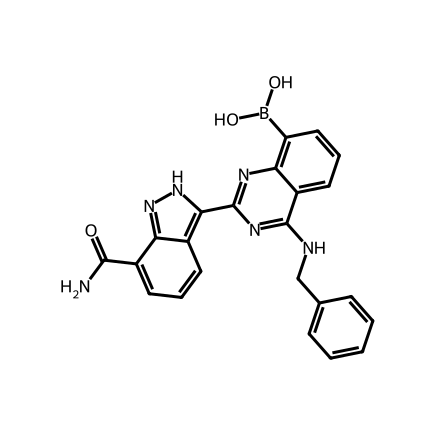 NC(=O)c1cccc2c(-c3nc(NCc4ccccc4)c4cccc(B(O)O)c4n3)[nH]nc12